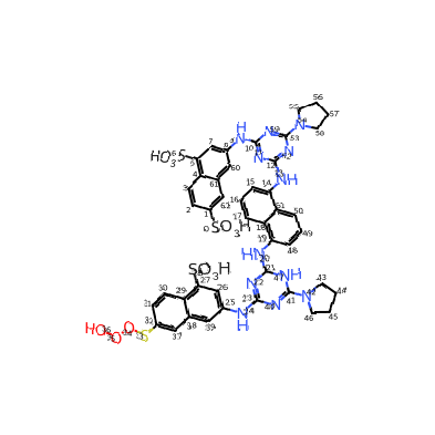 O=S(=O)(O)c1ccc2c(S(=O)(=O)O)cc(Nc3nc(Nc4cccc5c(NC6N=C(Nc7cc(S(=O)(=O)O)c8ccc(SOOO)cc8c7)N=C(N7CCCC7)N6)cccc45)nc(N4CCCC4)n3)cc2c1